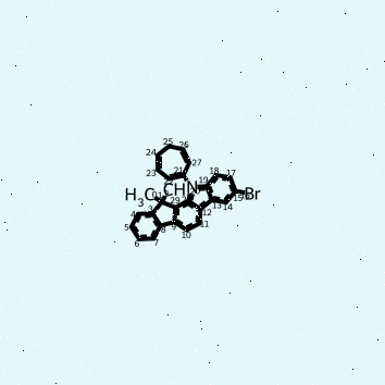 CC1(C)c2ccccc2-c2ccc3c4cc(Br)ccc4n(C4=CC=CCC=C4)c3c21